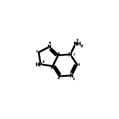 NN1C=NC=C2PCN=C21